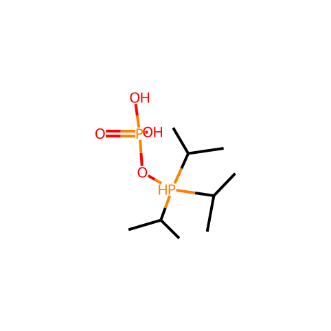 CC(C)[PH](OP(=O)(O)O)(C(C)C)C(C)C